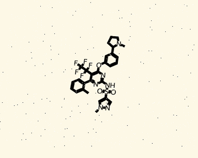 Cc1ccccc1-c1nc(NS(=O)(=O)c2cnn(C)c2)nc(Oc2cccc(C3CCCN3C)c2)c1C(F)(F)C(F)(F)F